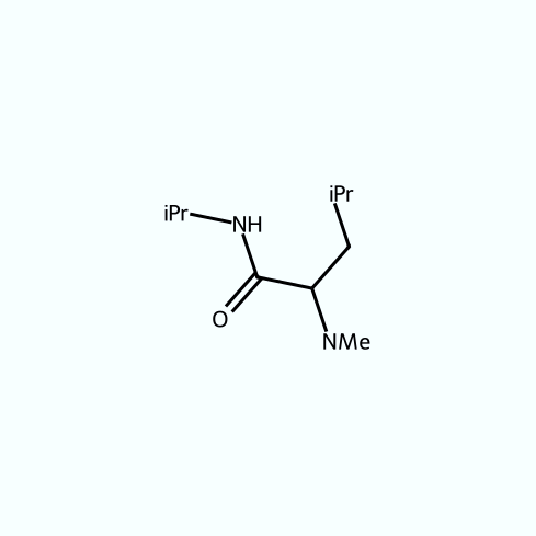 CNC(CC(C)C)C(=O)NC(C)C